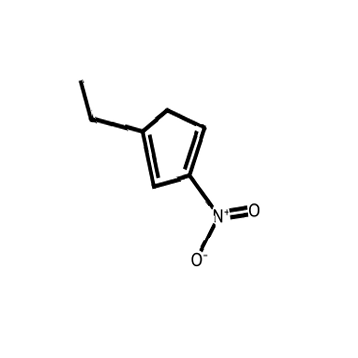 CCC1=CC([N+](=O)[O-])=CC1